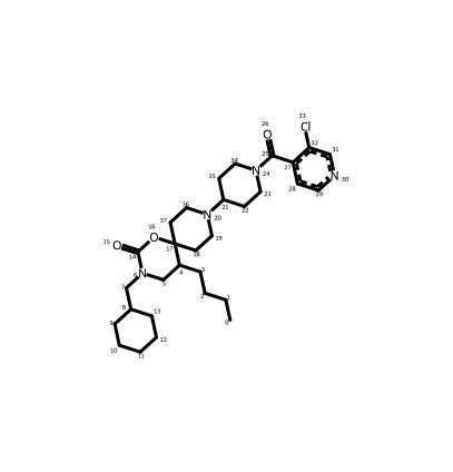 CCCCC1CN(CC2CCCCC2)C(=O)OC12CCN(C1CCN(C(=O)c3ccncc3Cl)CC1)CC2